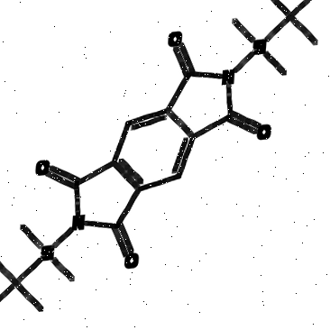 CC(C)(C)[Si](C)(C)n1c(=O)c2cc3c(=O)n([Si](C)(C)C(C)(C)C)c(=O)c3cc2c1=O